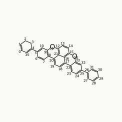 C1=CCCC(c2ccc3c(c2)Oc2ccc4c5c(ccc-3c25)-c2ccc(-c3ccccc3)cc2O4)=C1